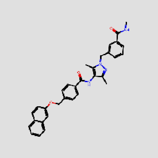 CNC(=O)c1cccc(Cn2nc(C)c(NC(=O)c3ccc(COc4ccc5ccccc5c4)cc3)c2C)c1